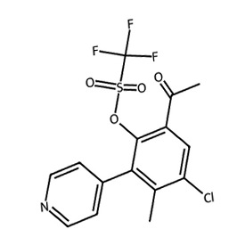 CC(=O)c1cc(Cl)c(C)c(-c2ccncc2)c1OS(=O)(=O)C(F)(F)F